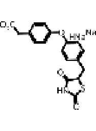 O=C(O)Cc1ccc(Oc2ccc(CC3SC(=O)NC3=O)cc2)cc1.[NaH].[NaH]